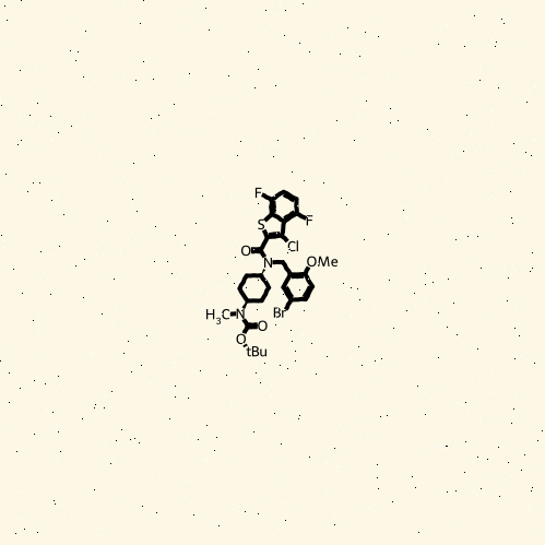 COc1ccc(Br)cc1CN(C(=O)c1sc2c(F)ccc(F)c2c1Cl)[C@H]1CC[C@H](N(C)C(=O)OC(C)(C)C)CC1